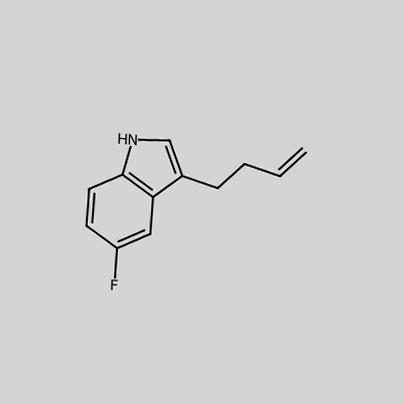 C=CCCc1c[nH]c2ccc(F)cc12